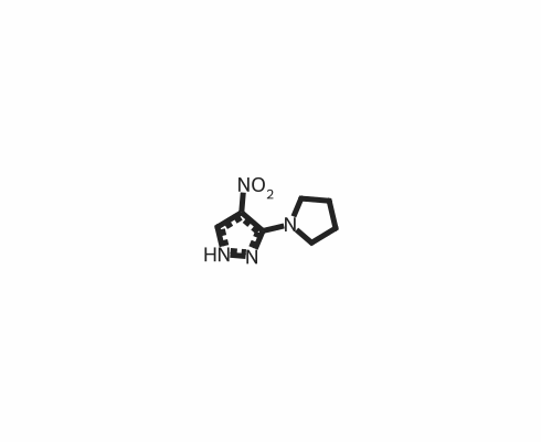 O=[N+]([O-])c1c[nH]nc1N1CCCC1